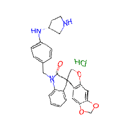 Cl.O=C1N(Cc2ccc(N[C@@H]3CCNC3)cc2)c2ccccc2C12COc1cc3c(cc12)OCO3